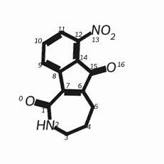 O=C1NCCCC2=C1c1cccc([N+](=O)[O-])c1C2=O